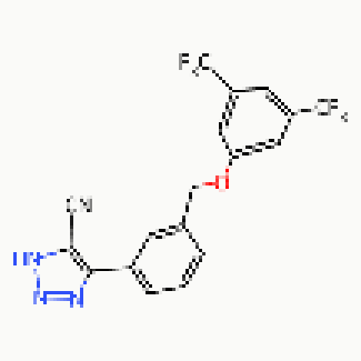 N#Cc1[nH]nnc1-c1cccc(COc2cc(C(F)(F)F)cc(C(F)(F)F)c2)c1